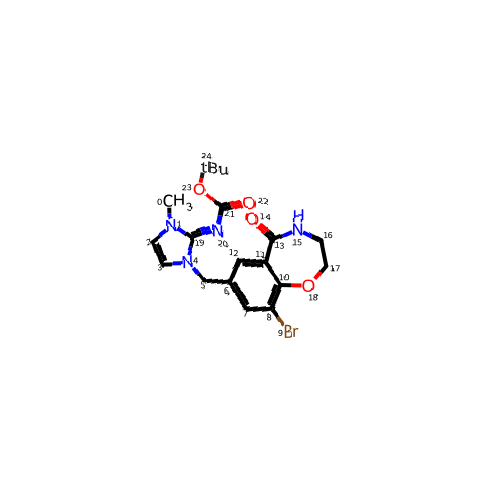 Cn1ccn(Cc2cc(Br)c3c(c2)C(=O)NCCO3)c1=NC(=O)OC(C)(C)C